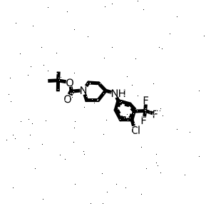 CC(C)(C)OC(=O)N1CCC(Nc2ccc(Cl)c(C(F)(F)F)c2)CC1